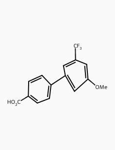 COc1cc(-c2ccc(C(=O)O)cc2)cc(C(F)(F)F)c1